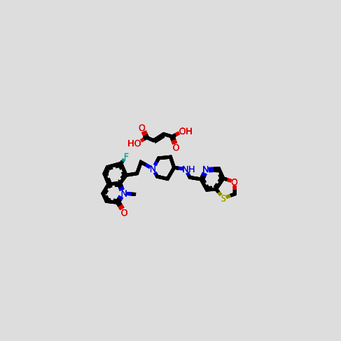 Cn1c(=O)ccc2ccc(F)c(CCN3CCC(NCc4cc5c(cn4)OCS5)CC3)c21.O=C(O)C=CC(=O)O